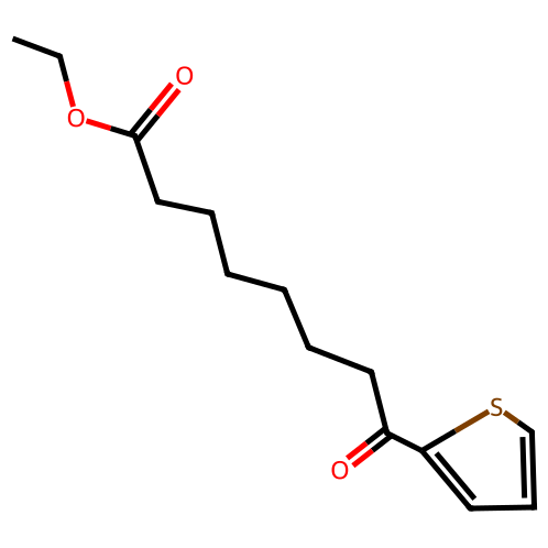 CCOC(=O)CCCCCCC(=O)c1cccs1